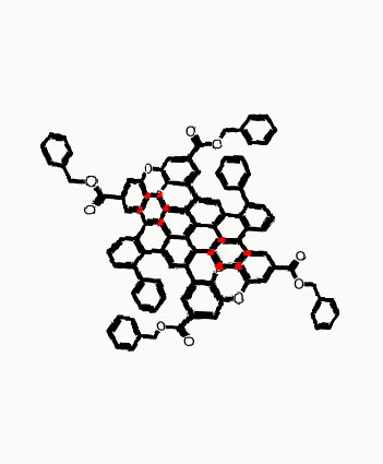 O=C(OCc1ccccc1)c1ccc2c(c1)Oc1cc(C(=O)OCc3ccccc3)cc3c1B2c1cc2c(-c4c(-c5ccccc5)cccc4-c4ccccc4)cc4c5c(cc6c(-c7c(-c8ccccc8)cccc7-c7ccccc7)cc-3c1c6c25)B1c2ccc(C(=O)OCc3ccccc3)cc2Oc2cc(C(=O)OCc3ccccc3)cc-4c21